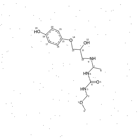 COCNC(=O)NC(C)NCC(O)COc1ccc(O)cc1